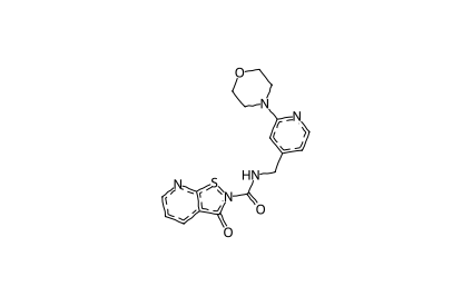 O=C(NCc1ccnc(N2CCOCC2)c1)n1sc2ncccc2c1=O